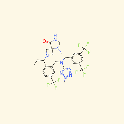 CCC(c1ccc(C(F)(F)F)cc1CN(Cc1cc(C(F)(F)F)cc(C(F)(F)F)c1)c1nnn(C)n1)N1CC2(C1)C(=O)NCN2C